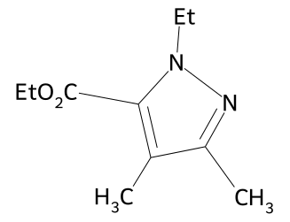 CCOC(=O)c1c(C)c(C)nn1CC